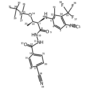 [C-]#[N+]c1ccc(N[C@@H](C(=O)NNC(=O)c2ccc(C#N)cc2)[C@@H](C)O[Si](C)(C)C(C)(C)C)c(C)c1C(F)(F)F